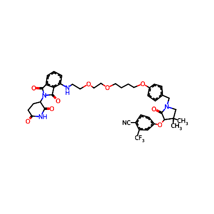 CC1(C)CN(Cc2ccc(OCCCCOCCOCCNc3cccc4c3C(=O)N(C3CCC(=O)NC3=O)C4=O)cc2)C(=O)C1Oc1ccc(C#N)c(C(F)(F)F)c1